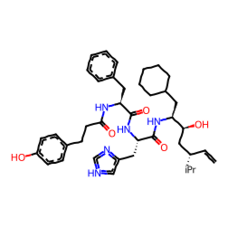 C=C[C@@H](C[C@H](O)[C@H](CC1CCCCC1)NC(=O)[C@H](Cc1c[nH]cn1)NC(=O)[C@H](Cc1ccccc1)NC(=O)CCc1ccc(O)cc1)C(C)C